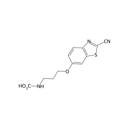 N#Cc1nc2ccc(OCCCNC(=O)O)cc2s1